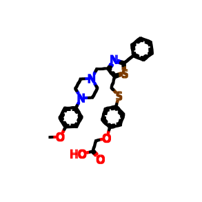 COc1ccc(N2CCN(Cc3nc(-c4ccccc4)sc3CSc3ccc(OCC(=O)O)cc3)CC2)cc1